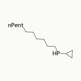 CCCCCCCCCCCPC1CC1